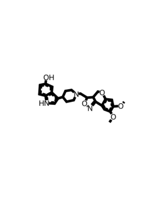 COc1cc2c(cc1OC)C1=NOC(CN3CCC(c4c[nH]c5ccc(O)cc45)CC3)C1CO2